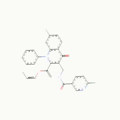 C=C(O/C=C\C)c1c(CNC(=O)c2ccc(Cl)nc2)c(=O)c2ccc(Cl)cc2n1-c1ccccc1